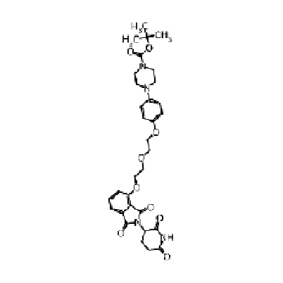 CC(C)(C)OC(=O)N1CCN(c2ccc(OCCOCCOc3cccc4c3C(=O)N(C3CCC(=O)NC3=O)C4=O)cc2)CC1